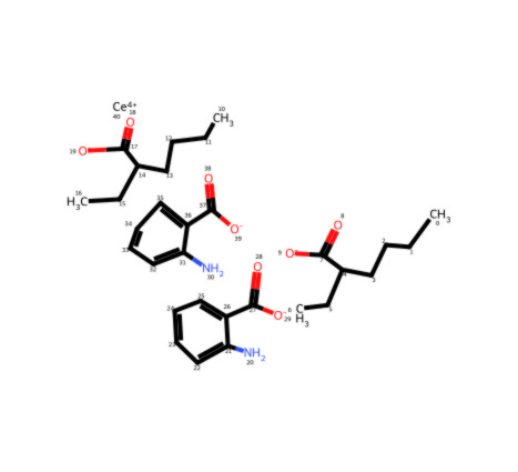 CCCCC(CC)C(=O)[O-].CCCCC(CC)C(=O)[O-].Nc1ccccc1C(=O)[O-].Nc1ccccc1C(=O)[O-].[Ce+4]